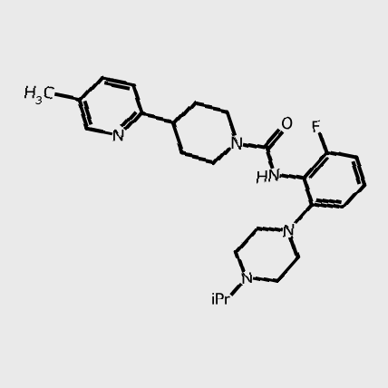 Cc1ccc(C2CCN(C(=O)Nc3c(F)cccc3N3CCN(C(C)C)CC3)CC2)nc1